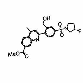 COC(=O)c1ccc2c(C)cc(-c3ccc(S(=O)(=O)N4CC[C@H](F)C4)cc3CO)nc2c1